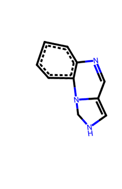 C1=Nc2ccccc2N2CNC=C12